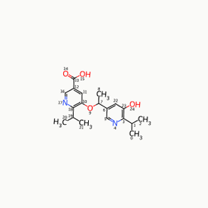 CC(C)c1ncc(C(C)Oc2cc(C(=O)O)cnc2C(C)C)cc1O